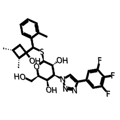 Cc1ccccc1C(S[C@@H]1O[C@H](CO)[C@H](O)[C@H](n2cc(-c3cc(F)c(F)c(F)c3)nn2)[C@H]1O)C1(O)C[C@@H](C)[C@H]1C